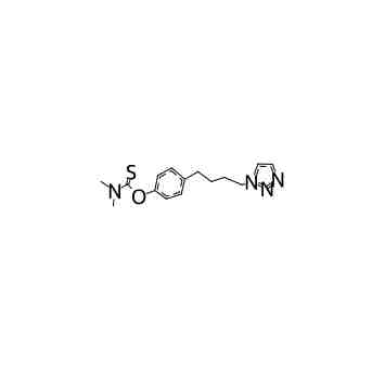 CN(C)C(=S)Oc1ccc(CCCCn2ccnn2)cc1